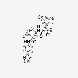 O=C(Nc1ccc(-n2cncn2)cc1)c1cc(NC(=O)[C@H]2[C@H](c3cc(Cl)cc(Cl)c3)C2(Cl)Cl)ccc1Cl